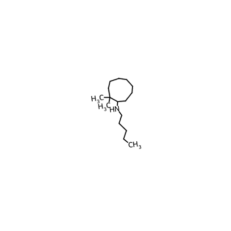 CCCCCNC1CCCCCCCC1(C)C